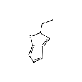 CC[C]1C=C2C=CC=C2S1